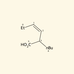 CC/C=C\C(CCCC)C(=O)O